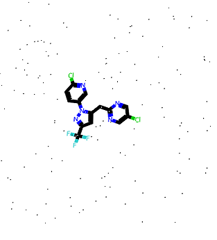 FC(F)(F)c1cc(Cc2ncc(Cl)cn2)n(-c2ccc(Cl)nc2)n1